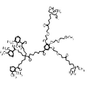 CC[N+](CC)(CC)CCCCC(=O)CCOCCOc1cc(C(=O)CCCCCC(=O)C(CCCCC(=O)c2cccc(C)c2C)(CCCCC(=O)c2cccc(C)c2C)CCCCC(=O)c2cccc(C)c2C)cc(OCCOCCC(=O)CCCC[N+](CC)(CC)CC)c1OCCOCCOC